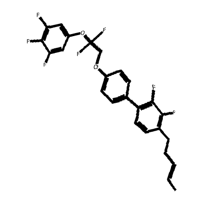 C/C=C/CCc1ccc(-c2ccc(OCC(F)(F)Oc3cc(F)c(F)c(F)c3)cc2)c(F)c1F